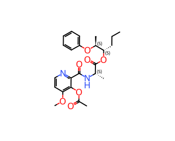 CCC[C@H](OC(=O)[C@H](C)NC(=O)c1nccc(OC)c1OC(C)=O)[C@H](C)Oc1ccccc1